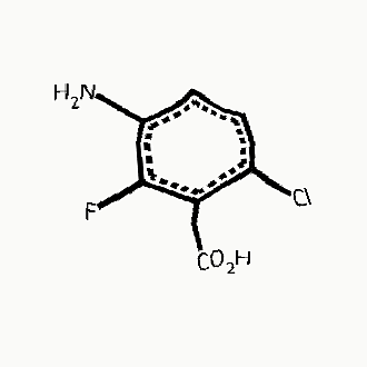 Nc1ccc(Cl)c(C(=O)O)c1F